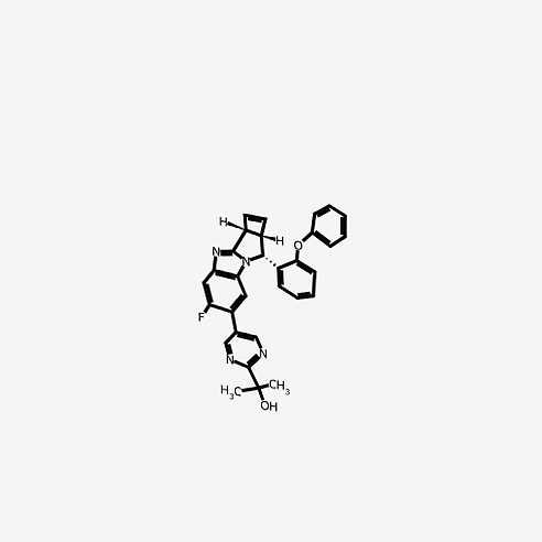 CC(C)(O)c1ncc(-c2cc3c(cc2F)nc2n3[C@@H](c3ccccc3Oc3ccccc3)[C@H]3C=C[C@@H]23)cn1